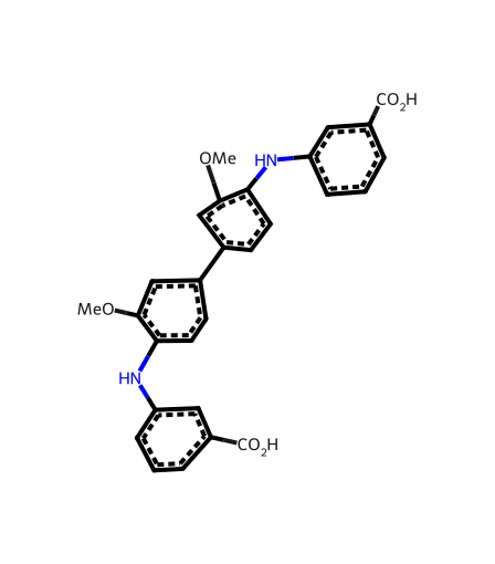 COc1cc(-c2ccc(Nc3cccc(C(=O)O)c3)c(OC)c2)ccc1Nc1cccc(C(=O)O)c1